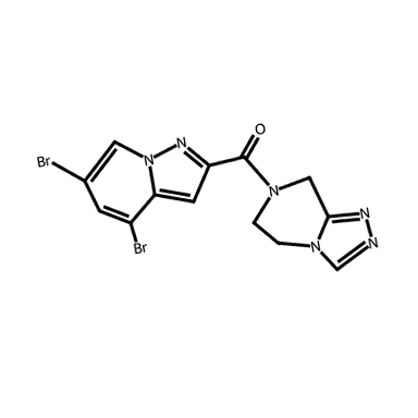 O=C(c1cc2c(Br)cc(Br)cn2n1)N1CCn2cnnc2C1